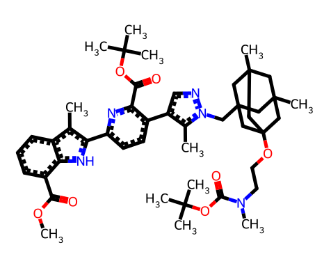 COC(=O)c1cccc2c(C)c(-c3ccc(-c4cnn(CC56CC7(C)CC(C)(C5)CC(OCCN(C)C(=O)OC(C)(C)C)(C7)C6)c4C)c(C(=O)OC(C)(C)C)n3)[nH]c12